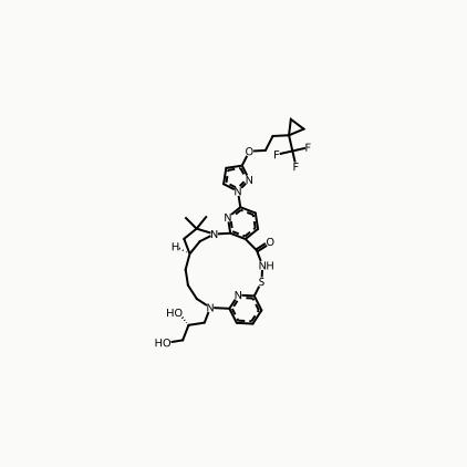 CC1(C)C[C@@H]2CCCN(C[C@@H](O)CO)c3cccc(n3)SNC(=O)c3ccc(-n4ccc(OCCC5(C(F)(F)F)CC5)n4)nc3N1C2